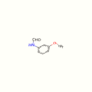 CCCOc1cccc(N[C]=O)c1